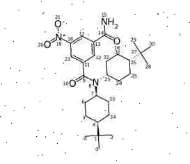 CC(C)(C)[C@H]1CC[C@@H](N(C(=O)c2cc(C(N)=O)cc([N+](=O)[O-])c2)[C@H]2CC[C@@H](C(C)(C)C)CC2)CC1